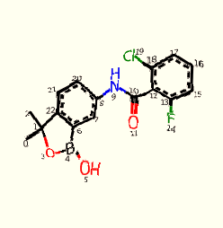 CC1(C)OB(O)c2cc(NC(=O)c3c(F)cccc3Cl)ccc21